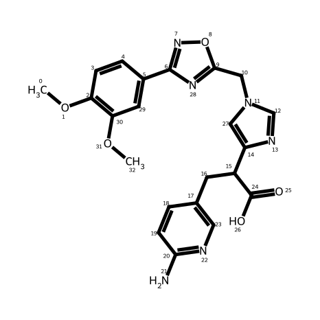 COc1ccc(-c2noc(Cn3cnc(C(Cc4ccc(N)nc4)C(=O)O)c3)n2)cc1OC